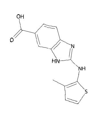 Cc1ccsc1Nc1nc2ccc(C(=O)O)cc2[nH]1